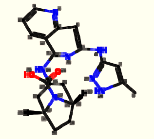 Cc1cc(Nc2cc3ncccc3c(NC3C[C@H]4CC[C@@H](C3)N4C(=O)O)n2)n[nH]1